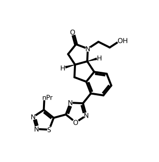 CCCc1nnsc1-c1nc(-c2cccc3c2C[C@@H]2CC(=O)N(CCO)[C@H]32)no1